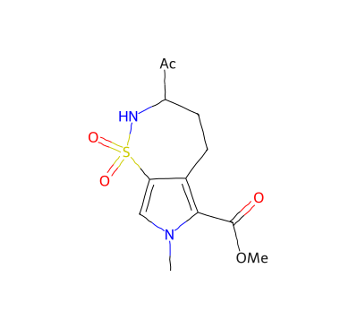 COC(=O)c1c2c(cn1C)S(=O)(=O)NC(C(C)=O)CC2